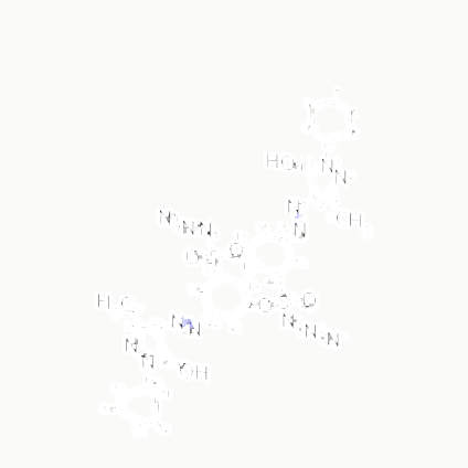 Cc1nn(-c2ccccc2)c(O)c1/N=N/c1ccc(-c2ccc(/N=N/c3c(C)nn(-c4ccccc4)c3O)cc2S(=O)(=O)N=[N+]=[N-])c(S(=O)(=O)N=[N+]=[N-])c1